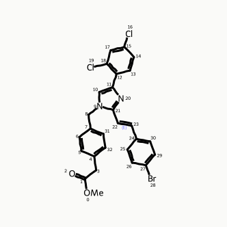 COC(=O)Cc1ccc(Cn2cc(-c3ccc(Cl)cc3Cl)nc2/C=C/c2ccc(Br)cc2)cc1